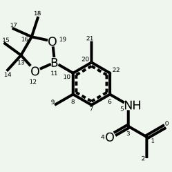 C=C(C)C(=O)Nc1cc(C)c(B2OC(C)(C)C(C)(C)O2)c(C)c1